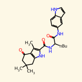 CCCCC(NC(=O)c1[nH]c2c(c1C)C(=O)CC(C)(C)C2)C(=O)Nc1ccc2[nH]ccc2c1